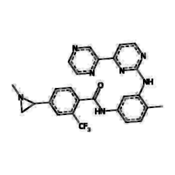 Cc1ccc(NC(=O)c2ccc(C3CN3C)cc2C(F)(F)F)cc1Nc1nccc(-c2cnccn2)n1